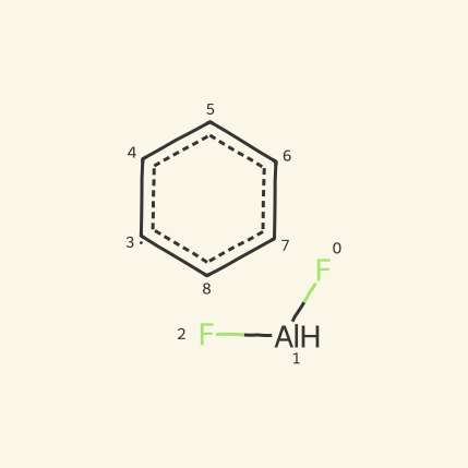 [F][AlH][F].[c]1ccccc1